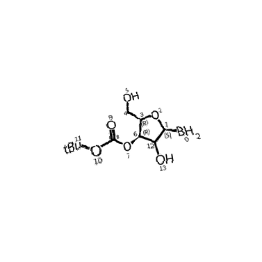 B[C@@H]1O[C@H](CO)[C@H](OC(=O)OC(C)(C)C)C1O